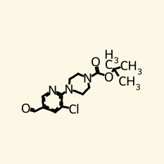 CC(C)(C)OC(=O)N1CCN(c2ncc(C=O)cc2Cl)CC1